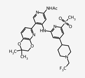 CC(=O)Nc1cc(Nc2cc(C3CCN(CC(F)(F)F)CC3)cc(S(C)(=O)=O)n2)c(-c2ccc3c(n2)OCC(C)(C)O3)cn1